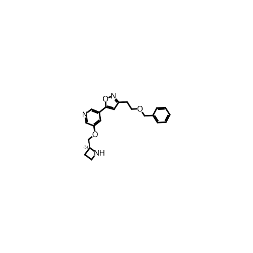 c1ccc(COCCc2cc(-c3cncc(OC[C@@H]4CCN4)c3)on2)cc1